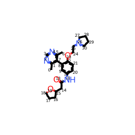 Cc1ncnc(C)c1-c1cc(NC(=O)CC2CCCO2)ccc1OCCN1CCCC1